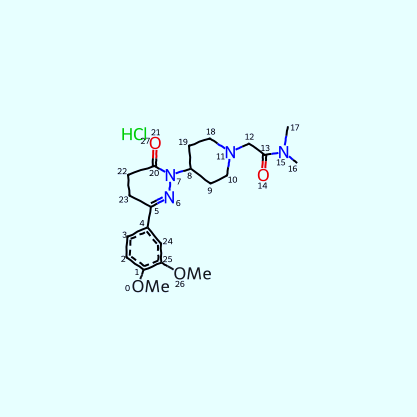 COc1ccc(C2=NN(C3CCN(CC(=O)N(C)C)CC3)C(=O)CC2)cc1OC.Cl